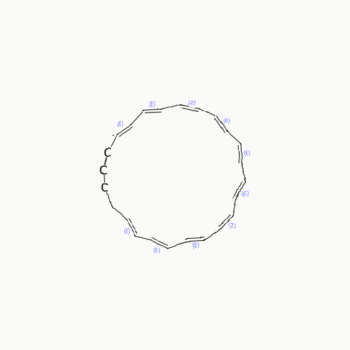 [C]1=C/C=C/C=C\C=C\C=C\C=C\C=C/C=C/C=C/C=C/CCCC/1